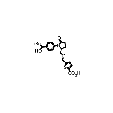 CCCCC(O)c1ccc(N2C(=O)CC[C@H]2COCc2ccc(C(=O)O)s2)cc1